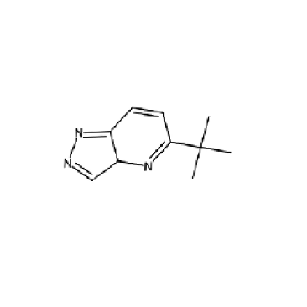 CC(C)(C)C1=NC2C=NN=C2C=C1